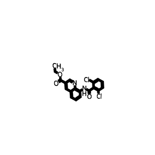 CCOC(=O)c1cnc2c(NC(=O)c3c(Cl)cccc3Cl)cccc2c1